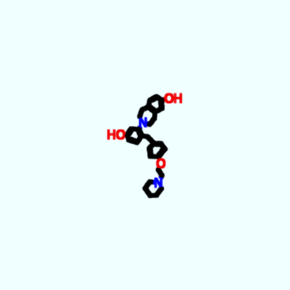 Oc1ccc2c(c1)CCN(c1cc(O)ccc1Cc1ccc(OCCN3CCCCC3)cc1)CC2